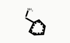 N[I]c1ccccc1